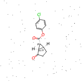 O=C1CC[C@H]2[C@@H]1[C@@H]2C(=O)Oc1ccc(Cl)cc1